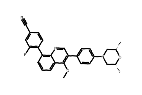 COc1c(-c2ccc(N3C[C@@H](C)O[C@@H](C)C3)cc2)cnc2c(-c3ccc(C#N)cc3F)cccc12